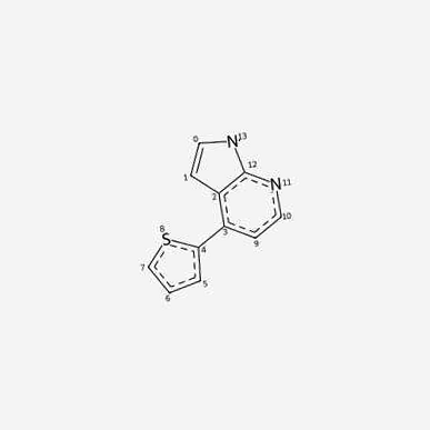 C1=Cc2c(-c3cccs3)ccnc2[N]1